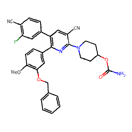 COc1ccc(-c2nc(N3CCC(OC(N)=O)CC3)c(C#N)cc2-c2ccc(C#N)c(F)c2)cc1OCc1ccccc1